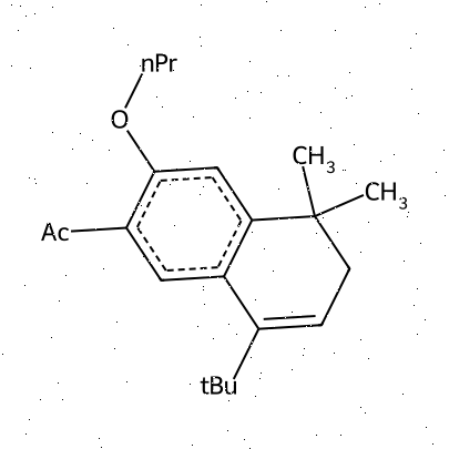 CCCOc1cc2c(cc1C(C)=O)C(C(C)(C)C)=CCC2(C)C